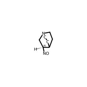 O=N[C@H]1CN2CCC1CC2